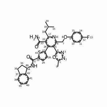 Cc1nnc(-c2c(COc3ccc(F)cc3)nc(CC(C)C)c(C(N)=O)c2-c2ccc(C(=O)N[C@@H]3CCc4ccccc43)s2)o1